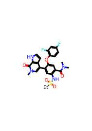 CCS(=O)(=O)Nc1cc(-c2cn(C)c(=O)c3[nH]ccc23)c(Oc2ccc(F)cc2F)cc1C(=O)N(C)C